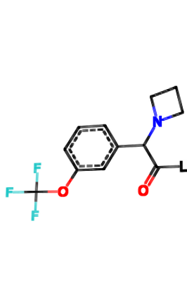 [Li][C](=O)C(c1cccc(OC(F)(F)F)c1)N1CCC1